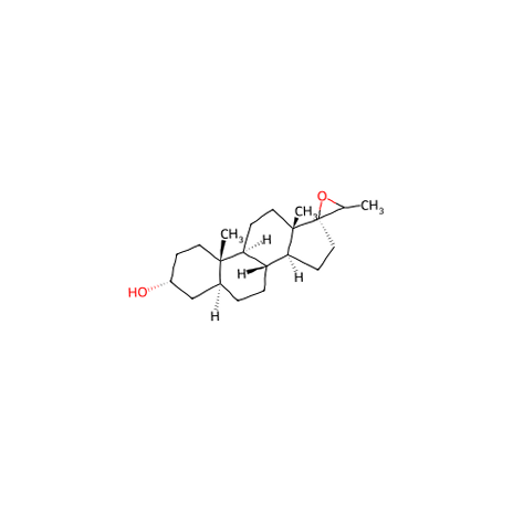 CC1O[C@@]12CC[C@H]1[C@@H]3CC[C@H]4C[C@H](O)CC[C@]4(C)[C@H]3CC[C@@]12C